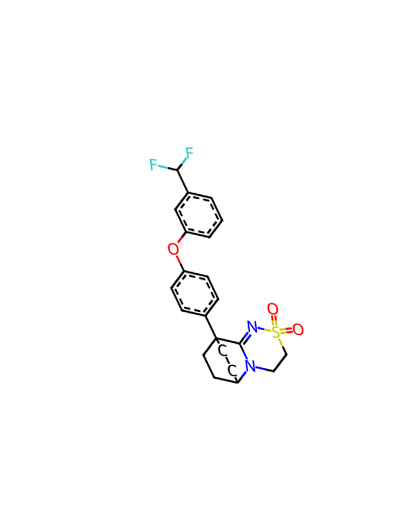 O=S1(=O)CCN2C(=N1)C1(c3ccc(Oc4cccc(C(F)F)c4)cc3)CCC2CC1